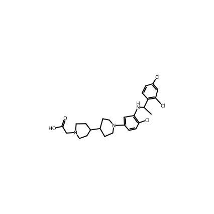 CC(Nc1cc(N2CCC(C3CCN(CC(=O)O)CC3)CC2)ccc1Cl)c1ccc(Cl)cc1Cl